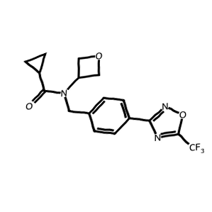 O=C(C1CC1)N(Cc1ccc(-c2noc(C(F)(F)F)n2)cc1)C1COC1